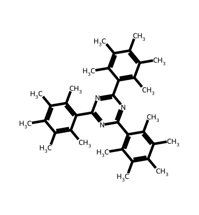 Cc1c(C)c(C)c(-c2nc(-c3c(C)c(C)c(C)c(C)c3C)nc(-c3c(C)c(C)c(C)c(C)c3C)n2)c(C)c1C